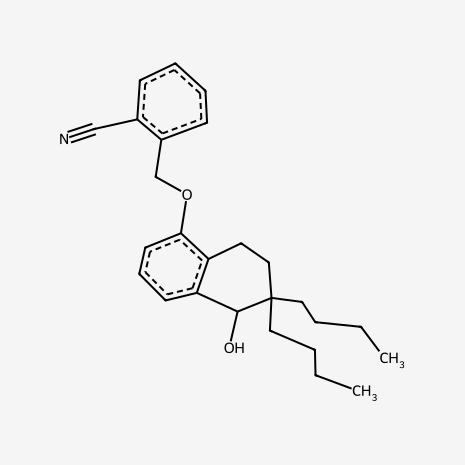 CCCCC1(CCCC)CCc2c(OCc3ccccc3C#N)cccc2C1O